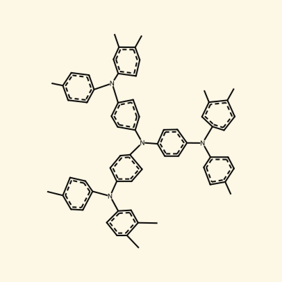 Cc1ccc(N(c2ccc(N(c3ccc(N(c4ccc(C)cc4)c4ccc(C)c(C)c4)cc3)c3ccc(N(c4ccc(C)cc4)c4ccc(C)c(C)c4)cc3)cc2)c2ccc(C)c(C)c2)cc1